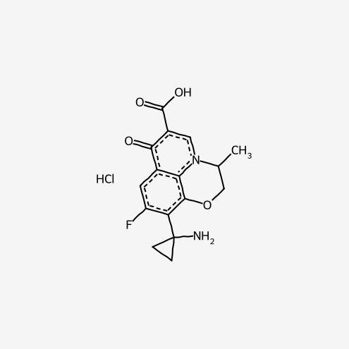 CC1COc2c(C3(N)CC3)c(F)cc3c(=O)c(C(=O)O)cn1c23.Cl